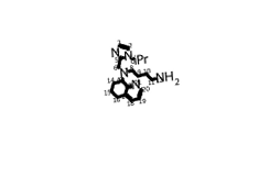 CC(C)n1ccnc1CN(CCCCN)[C@@H]1CCCc2cccnc21